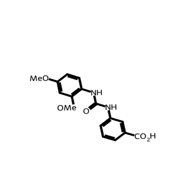 COc1ccc(NC(=O)Nc2cccc(C(=O)O)c2)c(OC)c1